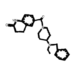 CCN(Cc1ccccc1)C1CCN(C(=O)c2ccc3c(c2)CCC(=O)N3)CC1